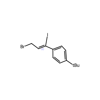 CC(C)(C)c1ccc(/C(I)=C/CBr)cc1